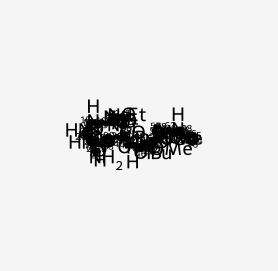 CCOP(=O)(Cc1nnc(CCC(=O)N[C@@H](C)C(=O)N[C@@H](C)C(=O)N[C@@H](CC(N)=O)C(=O)Nc2ccc(CCN(C(=O)O)[C@H](C(=O)N[C@H](C(=O)N(C)[C@@H]([C@@H](C)CC)[C@@H](CC(=O)N3CCC[C@H]3[C@H](OC)[C@@H](C)C(=O)N[C@H](C)[C@@H](O)c3ccccc3)OC)C(C)C)C(C)C)cc2)nn1)OCC